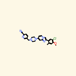 COc1cc(C)c(-c2cn3ccc(N4CCN(Cc5ccc(C#N)nc5)CC4)cc3n2)cc1Cl